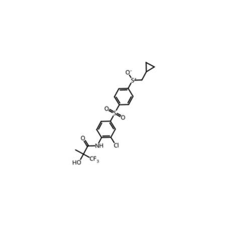 CC(O)(C(=O)Nc1ccc(S(=O)(=O)c2ccc([S+]([O-])CC3CC3)cc2)cc1Cl)C(F)(F)F